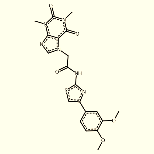 COc1ccc(-c2csc(NC(=O)Cn3cnc4c3c(=O)n(C)c(=O)n4C)n2)cc1OC